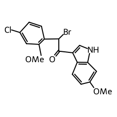 COc1ccc2c(C(=O)C(Br)c3ccc(Cl)cc3OC)c[nH]c2c1